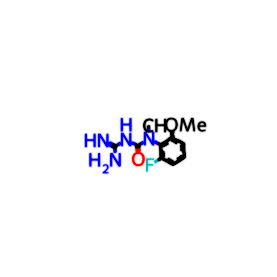 COc1cccc(F)c1N(C)C(=O)NC(=N)N